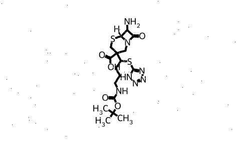 CC(C)(C)OC(=O)NCCCC(Sc1nnn[nH]1)C1(C(=O)O)CS[C@@H]2C(N)C(=O)N2C1